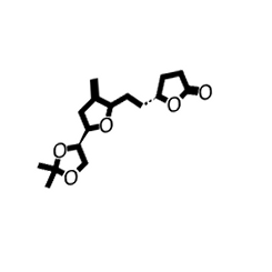 C=C1CC([C@H]2COC(C)(C)O2)OC1CC[C@@H]1CCC(=O)O1